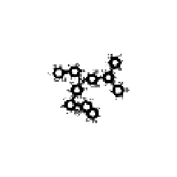 c1ccc(-c2cc(-c3ccccc3)cc(-c3ccc(N(c4ccc(-c5cccc6oc7c8ccccc8ccc7c56)cc4)c4cccc(-c5ccccc5)c4)cc3)c2)cc1